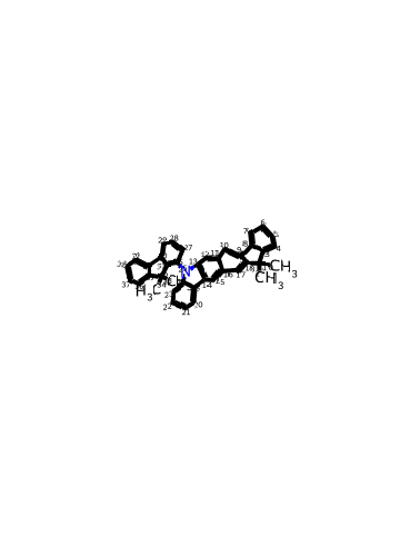 CC1(C)c2ccccc2-c2cc3cc4c(cc3cc21)c1ccccc1n4-c1cccc2c1C(C)(C)c1ccccc1-2